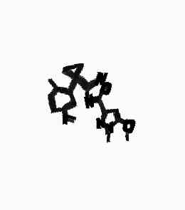 COc1cc(-c2nc(C3(c4cc(F)ccc4C)CC3)no2)nn1C